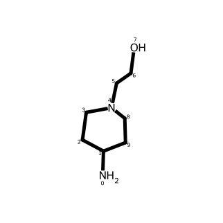 NC1CCN(CCO)CC1